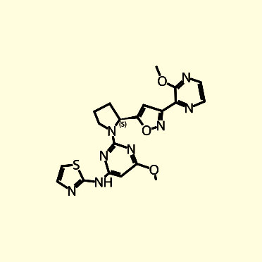 COc1cc(Nc2nccs2)nc(N2CCC[C@H]2c2cc(-c3nccnc3OC)no2)n1